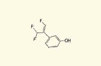 Oc1cccc(C(=CF)C(F)F)c1